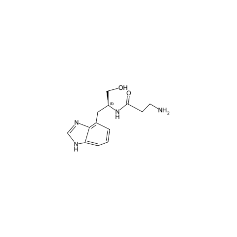 NCCC(=O)N[C@H](CO)Cc1cccc2[nH]cnc12